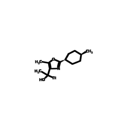 CCC(C)(O)c1nc([C@H]2CC[C@H](C)CC2)oc1C